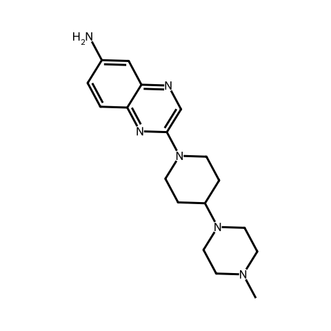 CN1CCN(C2CCN(c3cnc4cc(N)ccc4n3)CC2)CC1